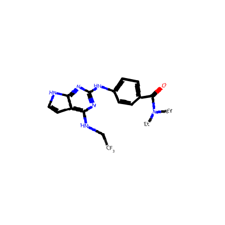 CCN(CC)C(=O)c1ccc(Nc2nc(NCC(F)(F)F)c3cc[nH]c3n2)cc1